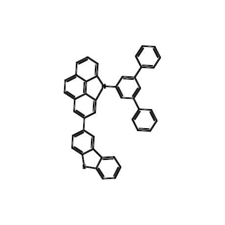 c1ccc(-c2cc(-c3ccccc3)cc(-n3c4cccc5ccc6cc(-c7ccc8sc9ccccc9c8c7)cc3c6c54)c2)cc1